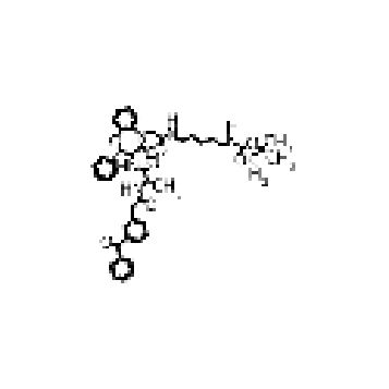 C[C@H](NC(=O)Cc1cccc(C(=O)c2ccccc2)c1)C(=O)N[C@@H]1C(=O)N(CC(=O)NCCCCCNC(=O)OC(C)(C)C)c2ccccc2O[C@@H]1c1ccccc1